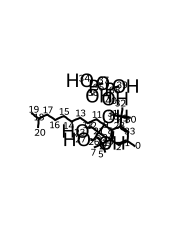 Cc1cc(C(C)(C)C)c(C(O)(CCCCCCCC(C)C)C(CO)(CO)CO)c(C(C)(C)C)c1.OP(O)OP(O)O